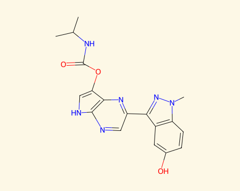 CC(C)NC(=O)Oc1c[nH]c2ncc(-c3nn(C)c4ccc(O)cc34)nc12